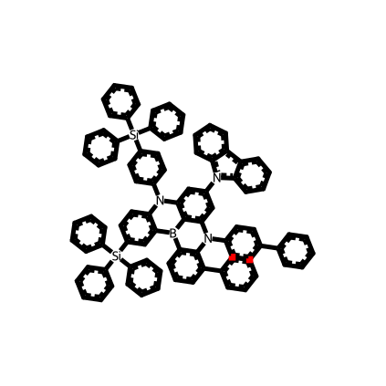 c1ccc(-c2ccc(N3c4cc(-n5c6ccccc6c6ccccc65)cc5c4B(c4cc([Si](c6ccccc6)(c6ccccc6)c6ccccc6)ccc4N5c4ccc([Si](c5ccccc5)(c5ccccc5)c5ccccc5)cc4)c4cccc(-c5ccccc5)c43)cc2)cc1